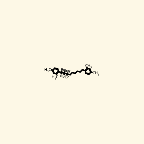 Cc1ccc(CCCCCCC(Br)(Br)C(Br)(Br)C(Br)(Br)c2ccc(C)cc2C)c(C)c1